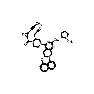 CC#C[C@H]1N[C@@H]1C(=O)N1CCN(c2nc(OC[C@@H]3CCCN3C)nc3c2CCN(c2cccc4cccc(Cl)c24)C3)C[C@@H]1CC#N